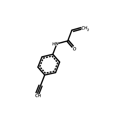 C#Cc1ccc(NC(=O)C=C)cc1